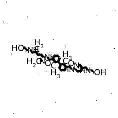 C=N/C(=C\C=C(/C)CNCCO)NC(=O)c1cccc(-c2cccc(C(=O)Nc3ccc(CNCCO)cn3)c2C)c1C